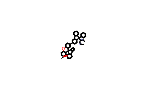 C/C=C\C(=C/C)C1(c2ccccc2)c2ccccc2-c2cc(-c3ccc4c(c3)C3(c5ccccc5-c5ccccc53)c3c(ccc5ccccc35)O4)ccc21